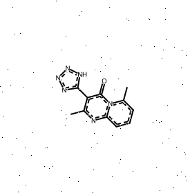 Cc1nc2cccc(C)n2c(=O)c1-c1nnn[nH]1